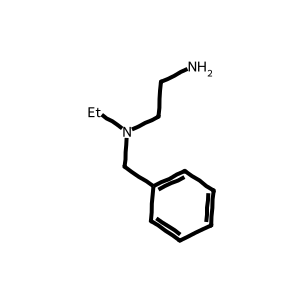 CCN(CCN)Cc1ccccc1